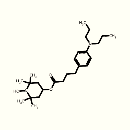 CCCN(CCC)c1ccc(CCCC(=O)OC2CC(C)(C)N(O)C(C)(C)C2)cc1